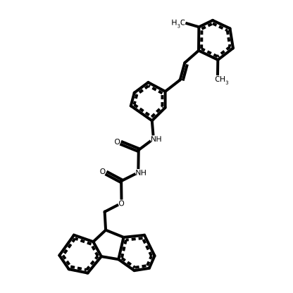 Cc1cccc(C)c1/C=C/c1cccc(NC(=O)NC(=O)OCC2c3ccccc3-c3ccccc32)c1